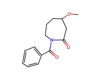 COC1CCCN(C(=O)c2ccccc2)C(=O)C1